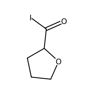 O=C(I)C1CCCO1